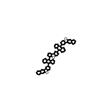 c1ccc2cc3c(cc2c1)oc1ccc(-c2c4ccccc4c(-c4ccc5oc6c(-c7c8ccccc8c(-c8ccc9oc%10cc%11ccccc%11cc%10c9c8)c8ccccc78)cccc6c5c4)c4ccccc24)cc13